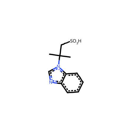 CC(C)(CS(=O)(=O)O)n1cnc2ccccc21